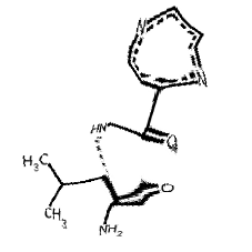 CC(C)[C@H](NC(=O)c1cnccn1)C(N)=O